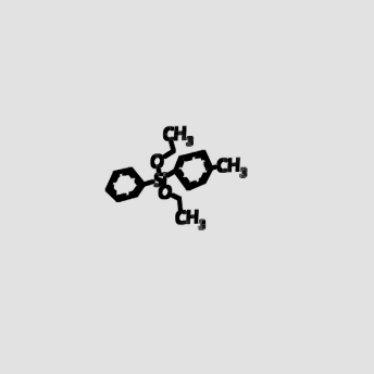 CCO[Si](OCC)(c1ccccc1)c1ccc(C)cc1